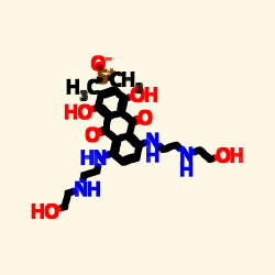 C[S+](C)[O-].O=C1c2c(O)ccc(O)c2C(=O)c2c(NCCNCCO)ccc(NCCNCCO)c21